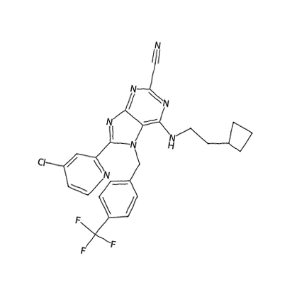 N#Cc1nc(NCCC2CCC2)c2c(n1)nc(-c1cc(Cl)ccn1)n2Cc1ccc(C(F)(F)F)cc1